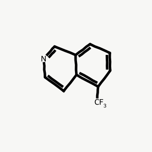 FC(F)(F)c1cccc2cnccc12